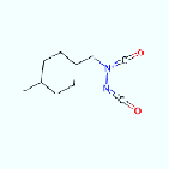 CC1CCC(C[N+](=C=O)N=C=O)CC1